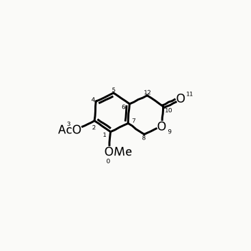 COc1c(OC(C)=O)ccc2c1COC(=O)C2